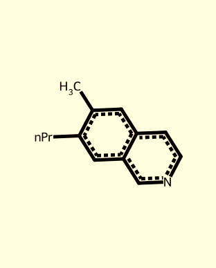 CCCc1cc2cnccc2cc1C